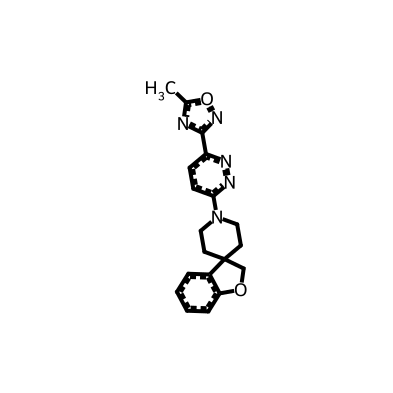 Cc1nc(-c2ccc(N3CCC4(CC3)COc3ccccc34)nn2)no1